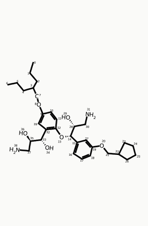 CCCC(CCC)COc1ccc(O[C@@H](c2cccc(OCC3CCCC3)c2)[C@H](O)CN)c([C@H](O)[C@H](O)CN)c1